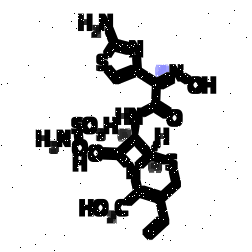 C=CC1=C(C(=O)O)N2C(=O)[C@@H](NC(=O)/C(=N\O)c3csc(N)n3)[C@H]2SC1.N.O=S(=O)(O)O